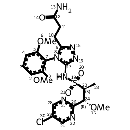 COc1cccc(OC)c1-n1c(CCC(N)=O)nnc1NS(=O)(=O)[C@@H](C)[C@H](OC)c1ncc(Cl)cn1